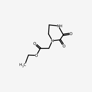 CCOC(=O)CN1CCNC(=O)C1=O